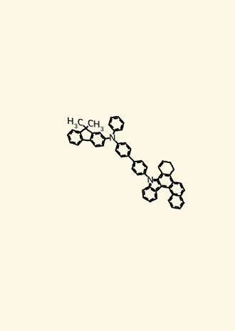 CC1(C)c2ccccc2-c2ccc(N(c3ccccc3)c3ccc(-c4ccc(-n5c6ccccc6c6c7c(ccc8ccccc87)c7c(c65)C=CCC7)cc4)cc3)cc21